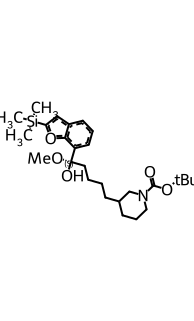 CO[C@@](O)(CCCCC1CCCN(C(=O)OC(C)(C)C)C1)c1cccc2cc([Si](C)(C)C)oc12